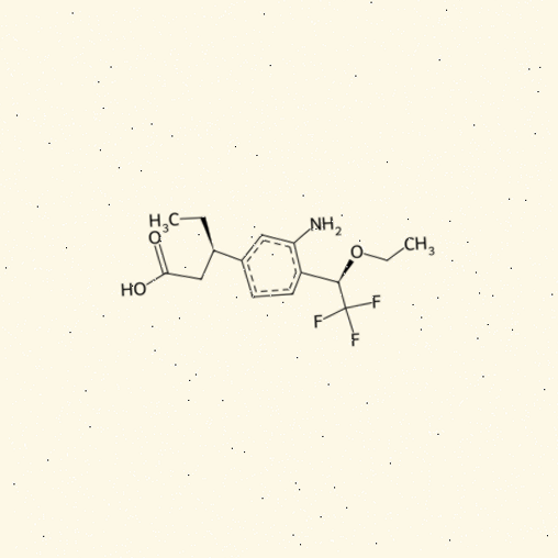 CCO[C@H](c1ccc([C@H](CC)CC(=O)O)cc1N)C(F)(F)F